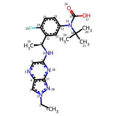 CCn1cc2ncc(N[C@@H](C)c3cc(N(C(=O)O)C(C)(C)C)ccc3F)nc2n1